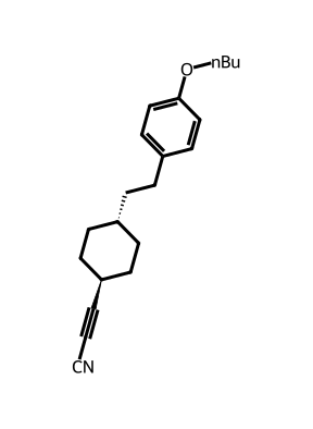 CCCCOc1ccc(CC[C@H]2CC[C@H](C#CC#N)CC2)cc1